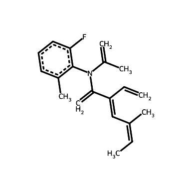 C=C/C(=C\C(C)=C/C)C(=C)N(C(=C)C)c1c(C)cccc1F